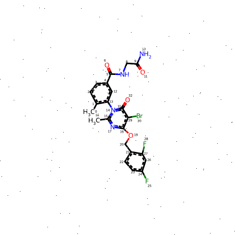 Cc1ccc(C(=O)NCC(N)=O)cc1-n1c(C)nc(OCc2ccc(F)cc2F)c(Br)c1=O